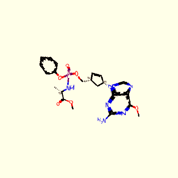 COC(=O)[C@H](C)NP(=O)(OC[C@@H]1C=C[C@H](n2cnc3c(OC)nc(N)nc32)C1)Oc1ccccc1